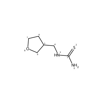 NC(=S)NCC1CCOC1